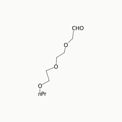 CCCOCCOCCOCC=O